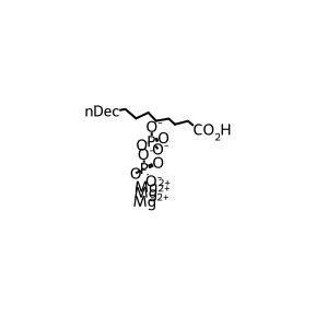 CCCCCCCCCCCCCCCCCC(=O)O.O=P([O-])([O-])[O-].O=P([O-])([O-])[O-].[Mg+2].[Mg+2].[Mg+2]